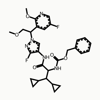 COCC(c1cc(F)cnc1OC)n1cc(NC(=O)C(NC(=O)OCc2ccccc2)C(C2CC2)C2CC2)c(F)n1